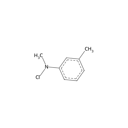 Cc1cccc(N(C)Cl)c1